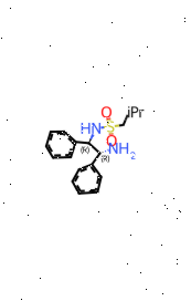 CC(C)CS(=O)(=O)N[C@H](c1ccccc1)[C@H](N)c1ccccc1